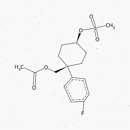 CC(=O)OC[C@]1(c2ccc(F)cc2)CC[C@H](OS(C)(=O)=O)CC1